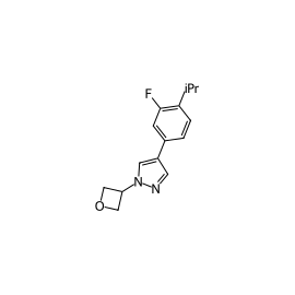 CC(C)c1ccc(-c2cnn(C3COC3)c2)cc1F